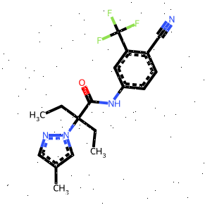 CCC(CC)(C(=O)Nc1ccc(C#N)c(C(F)(F)F)c1)n1cc(C)cn1